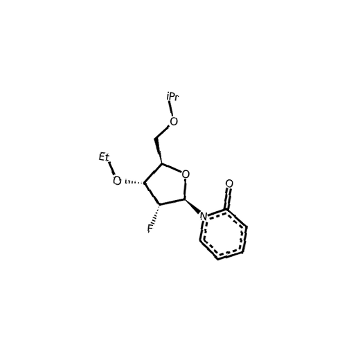 CCO[C@H]1[C@@H](F)[C@H](n2ccccc2=O)O[C@@H]1COC(C)C